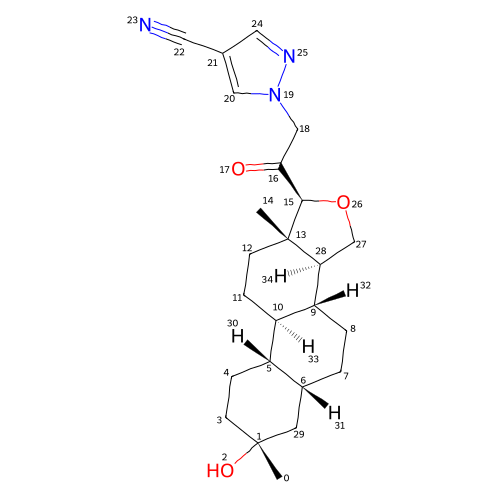 C[C@@]1(O)CC[C@H]2[C@H](CC[C@@H]3[C@@H]2CC[C@]2(C)[C@@H](C(=O)Cn4cc(C#N)cn4)OC[C@@H]32)C1